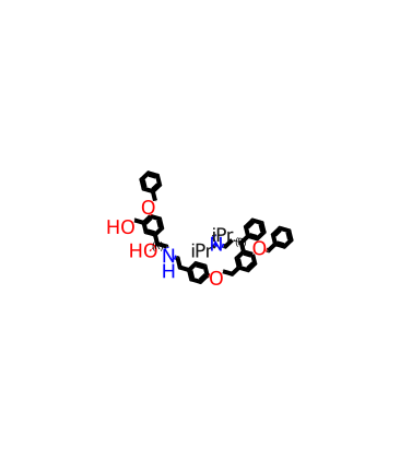 CC(C)N(CC[C@H](c1ccccc1)c1cc(CCOc2ccc(CCNC[C@H](O)c3ccc(OCc4ccccc4)c(CO)c3)cc2)ccc1OCc1ccccc1)C(C)C